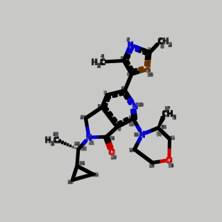 Cc1nc(C)c(-c2cc3c(c(N4CCOC[C@@H]4C)n2)C(=O)N([C@@H](C)C2CC2)C3)s1